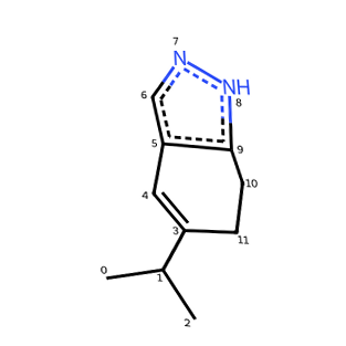 CC(C)C1=Cc2cn[nH]c2CC1